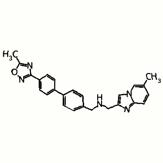 Cc1ccc2nc(CNCc3ccc(-c4ccc(-c5noc(C)n5)cc4)cc3)cn2c1